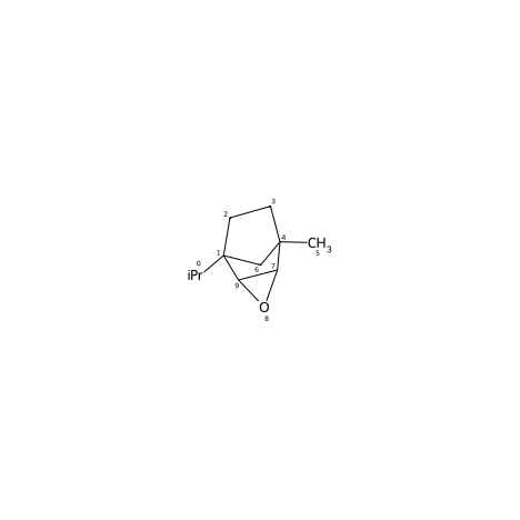 CC(C)C12CCC(C)(C1)C1OC12